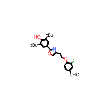 CC(C)(C)c1cc(-c2nc(CCOc3ccc(C=O)cc3Cl)co2)cc(C(C)(C)C)c1O